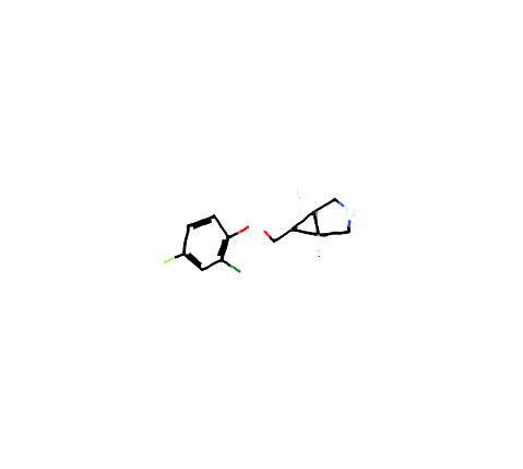 Fc1ccc(OCC2[C@H]3CNC[C@@H]23)c(Cl)c1